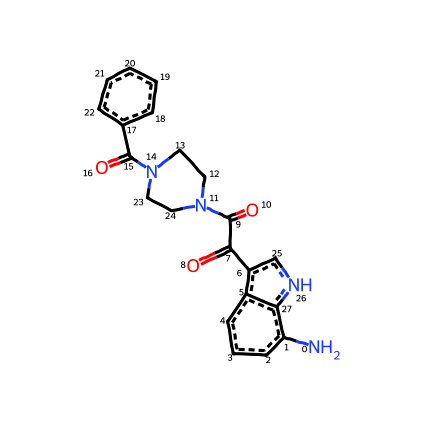 Nc1cccc2c(C(=O)C(=O)N3CCN(C(=O)c4ccccc4)CC3)c[nH]c12